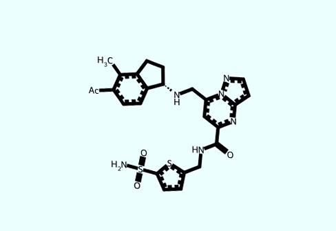 CC(=O)c1ccc2c(c1C)CC[C@@H]2NCc1cc(C(=O)NCc2ccc(S(N)(=O)=O)s2)nc2ccnn12